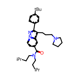 CC(C)CCN(CCC(C)C)C(=O)c1ccn2nc(-c3ccc(C(C)(C)C)cc3)c(CCCN3CCCC3)c2c1